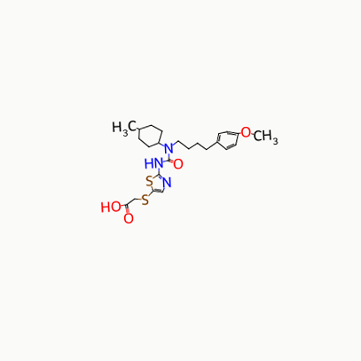 COc1ccc(CCCCN(C(=O)Nc2ncc(SCC(=O)O)s2)C2CCC(C)CC2)cc1